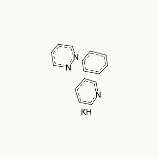 [KH].c1ccccc1.c1ccncc1.c1ccnnc1